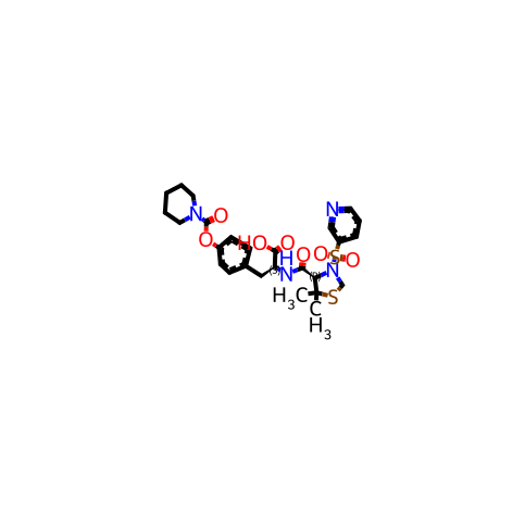 CC1(C)SCN(S(=O)(=O)c2cccnc2)[C@@H]1C(=O)N[C@@H](Cc1ccc(OC(=O)N2CCCCC2)cc1)C(=O)O